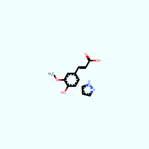 COc1cc(C=CC(=O)O)ccc1O.c1cn[nH]c1